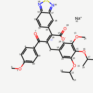 COc1ccc(C(=O)/C(Cc2cc(OC)c(OC(C)C)c(OC(C)C)c2)=C(/C(=O)[O-])c2ccc3nsnc3c2)cc1.[Na+]